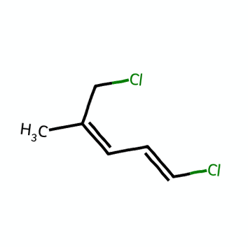 CC(=CC=CCl)CCl